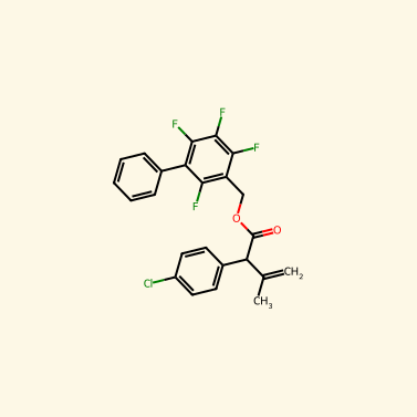 C=C(C)C(C(=O)OCc1c(F)c(F)c(F)c(-c2ccccc2)c1F)c1ccc(Cl)cc1